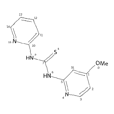 COc1ccnc(NC(=S)Nc2ccccn2)c1